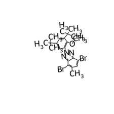 COc1c(-n2nc3c(Br)cc(C)c(Br)c3n2)cc(C(C)(C)C)cc1C(C)(C)C